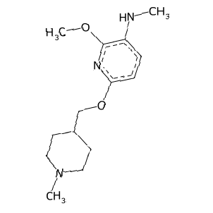 CNc1ccc(OCC2CCN(C)CC2)nc1OC